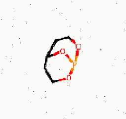 C1CC2CCOP(O1)O2